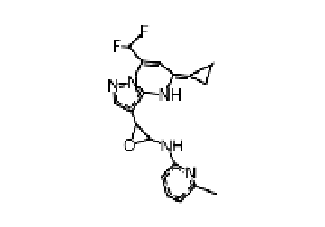 Cc1cccc(NC2OC2c2cnn3c2NC(=C2CC2)C=C3C(F)F)n1